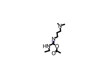 CCN/C(=N/CCCN(C)C)OC(C)=O